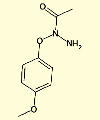 COc1ccc(ON(N)C(C)=O)cc1